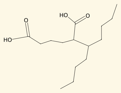 CCCCC(CCCC)C(CCCC(=O)O)C(=O)O